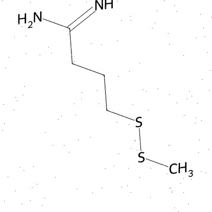 CSSCCCC(=N)N